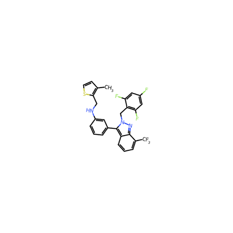 Cc1ccsc1CNc1cccc(-c2c3cccc(C(F)(F)F)c3nn2Cc2c(F)cc(F)cc2F)c1